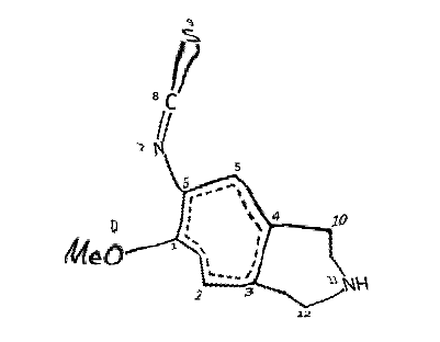 COc1cc2c(cc1N=C=S)CNC2